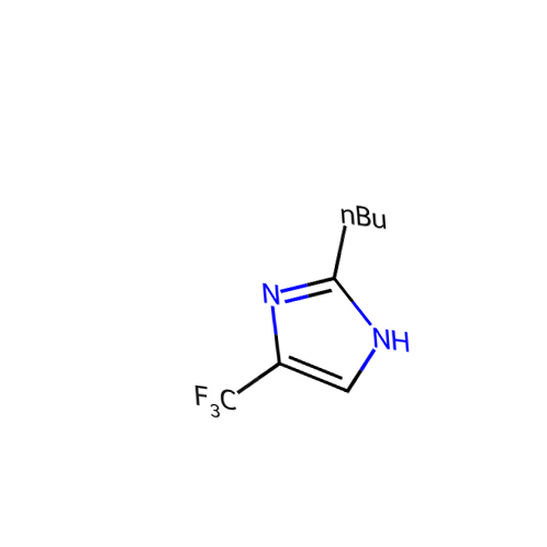 CCCCc1nc(C(F)(F)F)c[nH]1